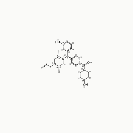 C=CCN1C[C@H](C)N([C@H](c2ccc(C(=O)N3CCC(O)CC3)cc2)c2cccc(O)c2)C[C@H]1C